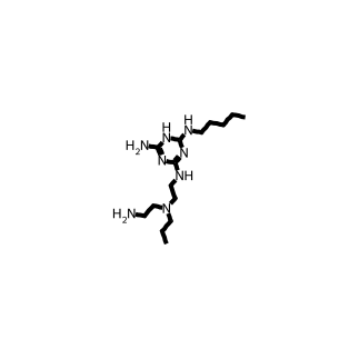 CCCCCNC1N=C(NCCN(CCC)CCN)N=C(N)N1